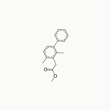 COC(=O)Cc1c(C)ccc(-c2ccccc2)c1C